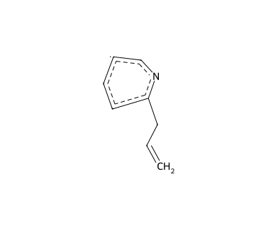 C=CCc1cc[c]cn1